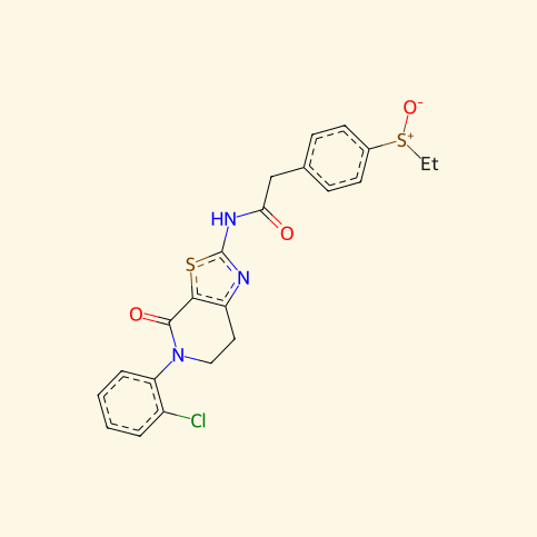 CC[S+]([O-])c1ccc(CC(=O)Nc2nc3c(s2)C(=O)N(c2ccccc2Cl)CC3)cc1